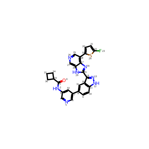 O=C(Nc1cncc(-c2ccc3[nH]nc(-c4nc5c(-c6ccc(F)s6)cncc5[nH]4)c3c2)c1)C1CCC1